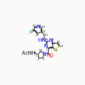 CC(=O)N[C@@H]1CCN(C(=O)c2nc(NCc3cncc(F)c3)nc3ccsc23)C1